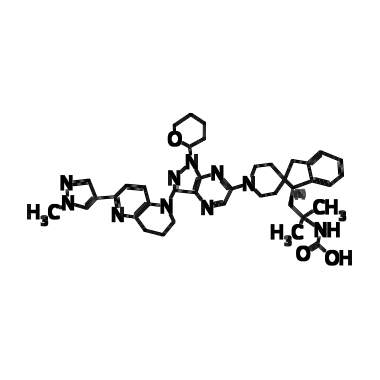 Cn1cc(-c2ccc3c(n2)CCCN3c2nn(C3CCCCO3)c3nc(N4CCC5(CC4)Cc4ccccc4[C@H]5CC(C)(C)NC(=O)O)cnc23)cn1